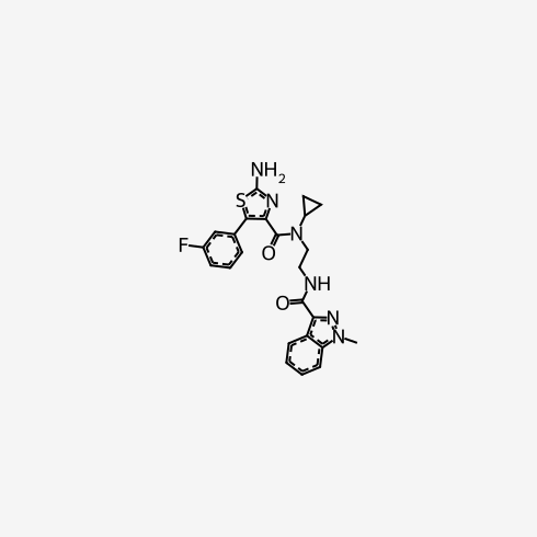 Cn1nc(C(=O)NCCN(C(=O)c2nc(N)sc2-c2cccc(F)c2)C2CC2)c2ccccc21